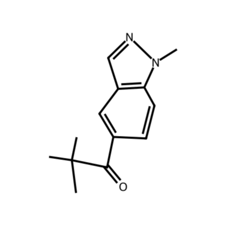 Cn1ncc2cc(C(=O)C(C)(C)C)ccc21